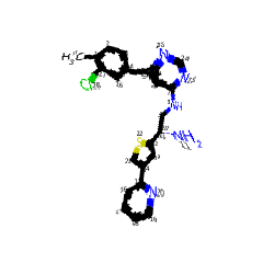 Cc1ccc(-c2cc(NC[C@H](N)c3cc(-c4ccccn4)cs3)ncn2)cc1Cl